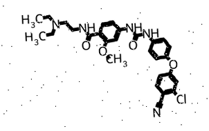 CCN(CC)CCNC(=O)c1ccc(NC(=O)Nc2ccc(Oc3ccc(C#N)c(Cl)c3)cc2)cc1OC